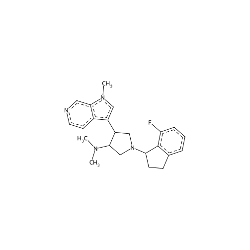 CN(C)C1CN(C2CCc3cccc(F)c32)CC1c1cn(C)c2cnccc12